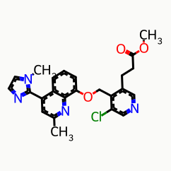 COC(=O)CCc1cncc(Cl)c1COc1cccc2c(-c3nccn3C)cc(C)nc12